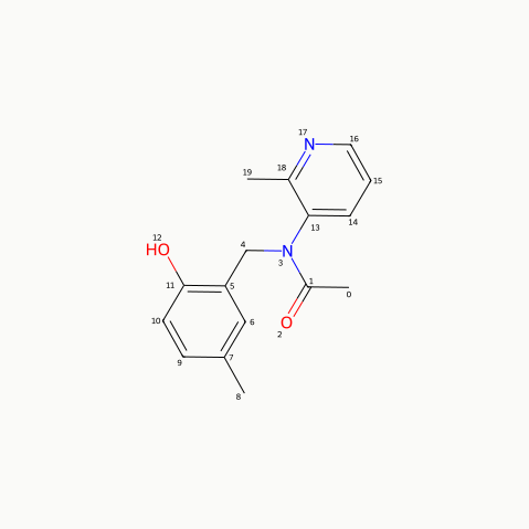 CC(=O)N(Cc1cc(C)ccc1O)c1cccnc1C